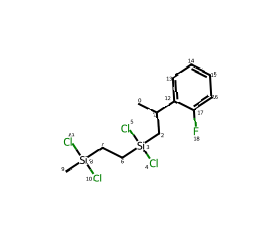 CC(C[Si](Cl)(Cl)CC[Si](C)(Cl)Cl)c1ccccc1F